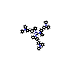 c1ccc(-n2c3ccccc3c3cc(-c4ccc5c(c4)c4ccccc4n5-c4cc(-n5c6ccccc6c6cc(-c7ccc8c(c7)c7ccccc7n8-c7ccccc7)ccc65)nc(-n5c6ccccc6c6cc(-c7ccc8c(c7)c7ccccc7n8-c7ccccc7)ccc65)n4)ccc32)cc1